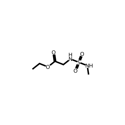 CCOC(=O)CNS(=O)(=O)NC